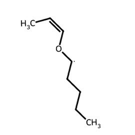 C/C=C\O[CH]CCCC